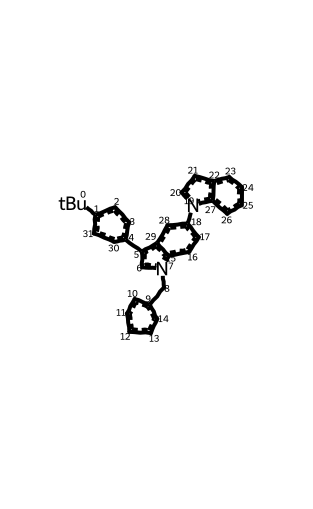 CC(C)(C)c1ccc(-c2cn(Cc3ccccc3)c3ccc(-n4ccc5ccccc54)cc23)cc1